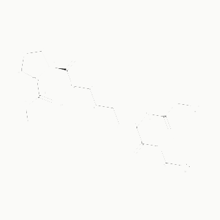 CC(C)(C)OC(=O)N[C@@H](CCCCNC(=O)[C@@H]1CSCN1C(=O)OC(C)(C)C)C(=O)OCC#N